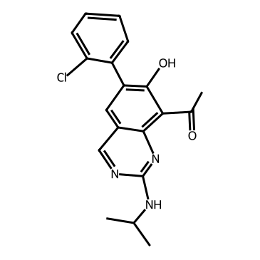 CC(=O)c1c(O)c(-c2ccccc2Cl)cc2cnc(NC(C)C)nc12